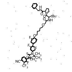 CN(C(=S)N(c1cnc(-c2ccc(OCCCCCOCC(=O)NC(C(=O)N3CCCC3C(=O)NCc3ccccc3)C(C)(C)C)c(F)c2)c(F)c1)C(C)(C)C=O)c1ccc(C#N)c(C(F)(F)F)c1F